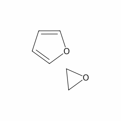 C1CO1.c1ccoc1